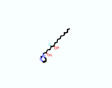 CCCCCCCCCCC(O)C(F)CCC(O)C[n+]1cccnc1